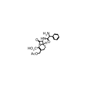 CC(=O)OCC1=C(C(=O)O)N2C(=O)[C@H](NC(=O)C(N)c3ccccc3)[C@@H]2SC1